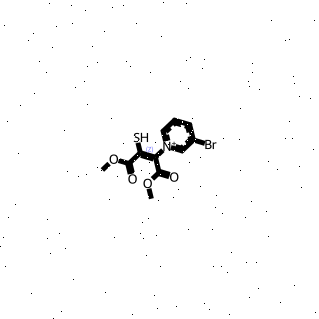 COC(=O)/C(S)=C(\C(=O)OC)[n+]1cccc(Br)c1